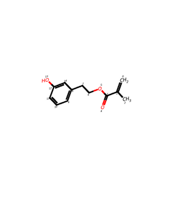 C=C(C)C(=O)OCCc1cccc(O)c1